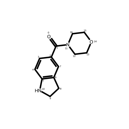 O=C(c1ccc2c(c1)CCN2)N1CCOCC1